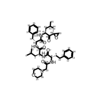 CC(C)C[C@H](NC(=O)[C@H](CCc1ccccc1)NC(=O)CN1CCOCC1)C(=O)N[C@H](Cc1ccccc1)C(=O)N[C@@H](CC(C)C)C(=O)[C@@]1(C)CO1